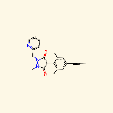 CC#Cc1cc(C)c(C2C(=O)N(C)N(Cc3ccccn3)C2=O)c(C)c1